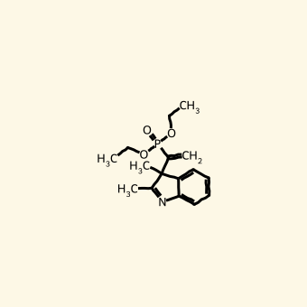 C=C(C1(C)C(C)=Nc2ccccc21)P(=O)(OCC)OCC